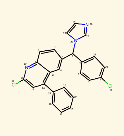 Clc1ccc(C(c2ccc3nc(Cl)cc(-c4ccccc4)c3c2)n2ccnc2)cc1